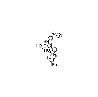 CC(C)(C)c1cc(F)c2c(=O)n(-c3cccc(-n4cc(C(=O)O)c(Nc5ccc(C(=O)N6CCOCC6)cc5)n4)c3CO)ncc2c1